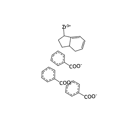 O=C([O-])c1ccccc1.O=C([O-])c1ccccc1.O=C([O-])c1ccccc1.[Zr+3][CH]1CCC2CC=CC=C12